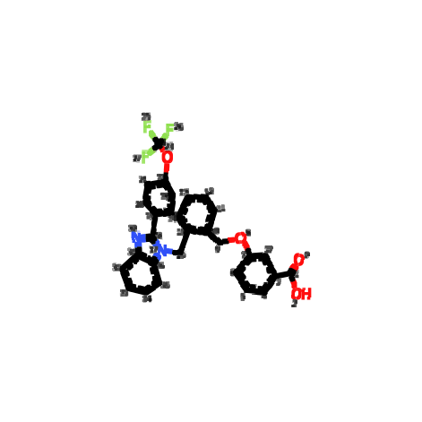 O=C(O)c1cccc(OCc2ccccc2Cn2c(-c3ccc(OC(F)(F)F)cc3)nc3ccccc32)c1